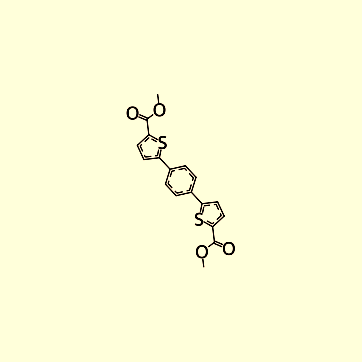 COC(=O)c1ccc(-c2ccc(-c3ccc(C(=O)OC)s3)cc2)s1